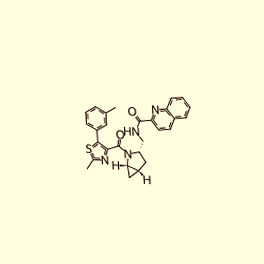 Cc1cccc(-c2sc(C)nc2C(=O)N2[C@H](CNC(=O)c3ccc4ccccc4n3)C[C@@H]3C[C@@H]32)c1